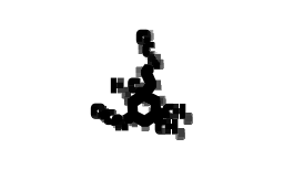 CC1(C)CC(N=C=O)CC(C)(CCN=C=O)C1